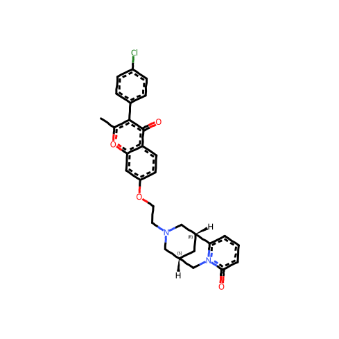 Cc1oc2cc(OCCN3C[C@@H]4C[C@H](C3)c3cccc(=O)n3C4)ccc2c(=O)c1-c1ccc(Cl)cc1